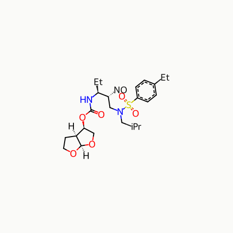 CCc1ccc(S(=O)(=O)N(CC(C)C)C[C@@H](N=O)[C@H](CC)NC(=O)O[C@H]2CO[C@H]3OCC[C@H]32)cc1